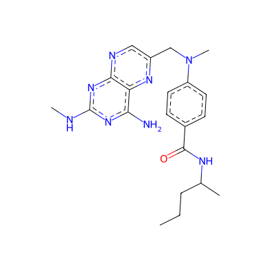 CCCC(C)NC(=O)c1ccc(N(C)Cc2cnc3nc(NC)nc(N)c3n2)cc1